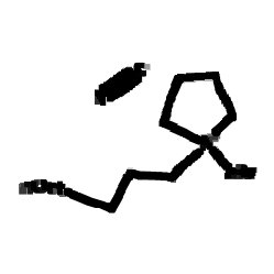 CCCCCCCCCCC[N+]1(CCCC)CCCC1.[C-]#N